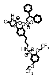 O=C1CN(c2ccc(CCCNS(=O)(=O)c3cc(OCC(F)(F)F)ccc3OCC(F)(F)F)cc2OS(=O)(=O)CC(c2ccccc2)c2ccccc2)S(=O)(=O)N1